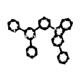 c1ccc(-c2ccc3c(c2)c2ccccc2n3-c2cccc(-c3cc(-c4ccccn4)nc(-c4ccccc4)n3)c2)cc1